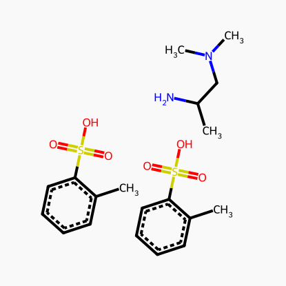 CC(N)CN(C)C.Cc1ccccc1S(=O)(=O)O.Cc1ccccc1S(=O)(=O)O